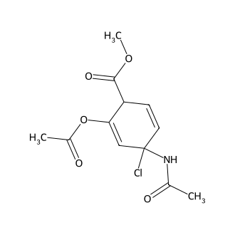 COC(=O)C1C=CC(Cl)(NC(C)=O)C=C1OC(C)=O